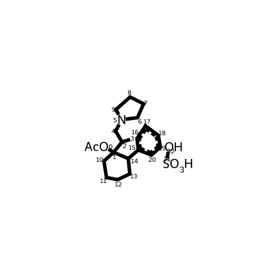 CC(=O)OC1(C(C)CN2CCCC2)CCCCC1c1ccccc1.O=S(=O)(O)O